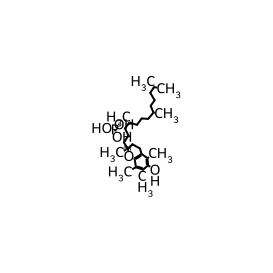 Cc1c(C)c2c(c(C)c1O)CC[C@@](C)(CCCC(C)CCCC(C)CCCC(C)C)O2.OP(O)O